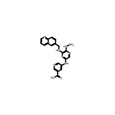 NNc1ncc(Nc2cncc(C(=O)O)c2)nc1NCc1ccc2ncccc2c1